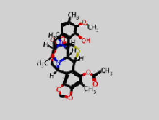 COc1c(C)cc2c(c1O)[C@H]1[C@@H]3[C@@H]4SCC(=O)C(=O)OC[C@@H](c5c6c(c(C)c(OC(C)=O)c54)OCO6)N3[C@@H](C)[C@H](C2)N1C